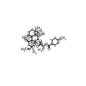 C=C[C@@]1(C)CC(=O)[C@]2(O)[C@@]3(C)[C@@H](O)CCC(C)(C)[C@@H]3[C@H](O)[C@H](OC(=O)N(C)OC(=O)N3CCC(C)CC3)[C@@]2(C)O1